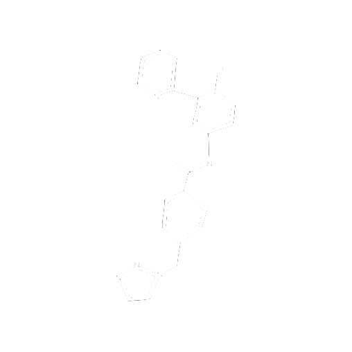 CCc1ccc(NC(=O)c2ccc(Cn3ccnn3)cc2)cc1-c1ccccn1